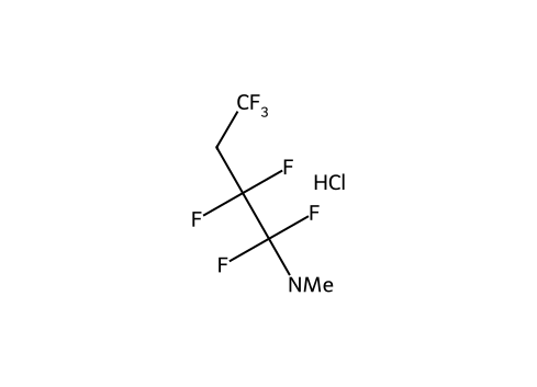 CNC(F)(F)C(F)(F)CC(F)(F)F.Cl